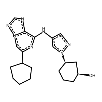 O[C@H]1CCC[C@@H](n2cc(Nc3nc(C4CCCCC4)cn4ncnc34)cn2)C1